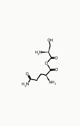 NC(=O)CC[C@H](N)C(=O)OC(=O)[C@@H](N)CO